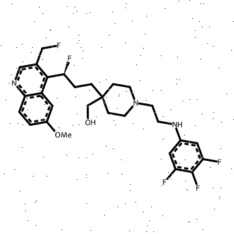 COc1ccc2ncc(CF)c([C@@H](F)CCC3(CO)CCN(CCNc4cc(F)c(F)c(F)c4)CC3)c2c1